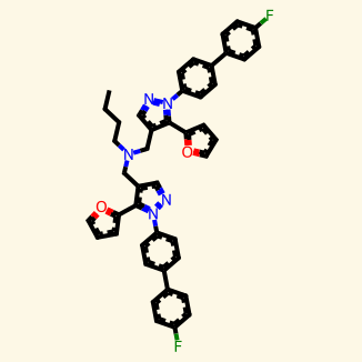 CCCCN(Cc1cnn(-c2ccc(-c3ccc(F)cc3)cc2)c1-c1ccco1)Cc1cnn(-c2ccc(-c3ccc(F)cc3)cc2)c1-c1ccco1